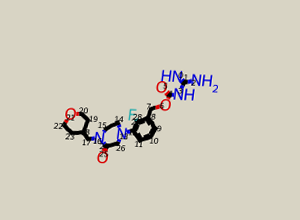 N=C(N)NC(=O)OCc1cccc(N2CCN(CC3CCOCC3)C(=O)C2)c1F